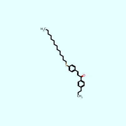 CCCCCCCCCCCCCCSc1ccc(C=CC(=O)c2ccc(CCC)cc2)cc1